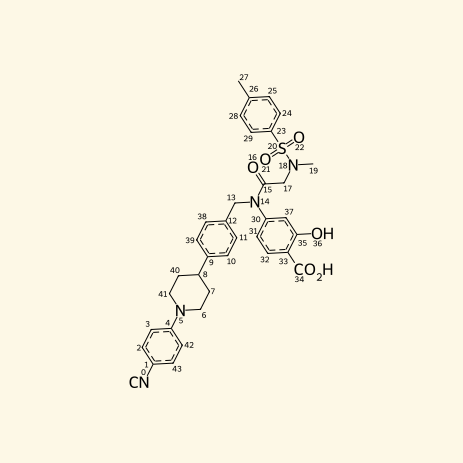 [C-]#[N+]c1ccc(N2CCC(c3ccc(CN(C(=O)CN(C)S(=O)(=O)c4ccc(C)cc4)c4ccc(C(=O)O)c(O)c4)cc3)CC2)cc1